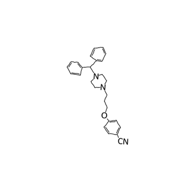 N#Cc1ccc(OCCCN2CCN(C(c3ccccc3)c3ccccc3)CC2)cc1